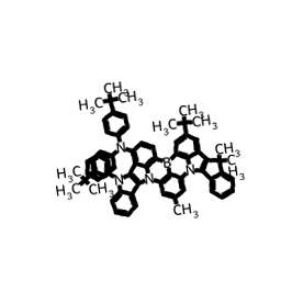 Cc1cc2c3c(c1)-n1c4c(ccc(N(c5ccc(C(C)(C)C)cc5)c5ccc(C(C)(C)C)cc5)c4c4c1c1ccccc1n4-c1ccccc1)B3c1cc(C(C)(C)C)cc3c4c(n-2c13)-c1ccccc1C4(C)C